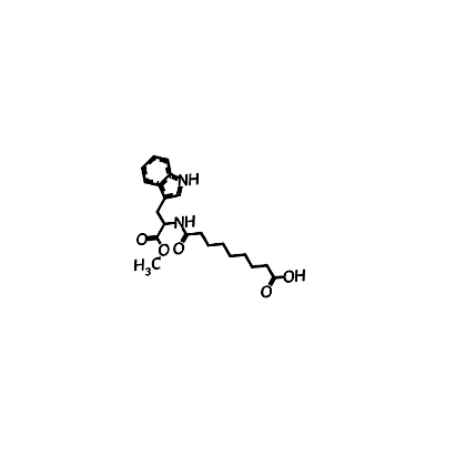 COC(=O)C(Cc1c[nH]c2ccccc12)NC(=O)CCCCCCCC(=O)O